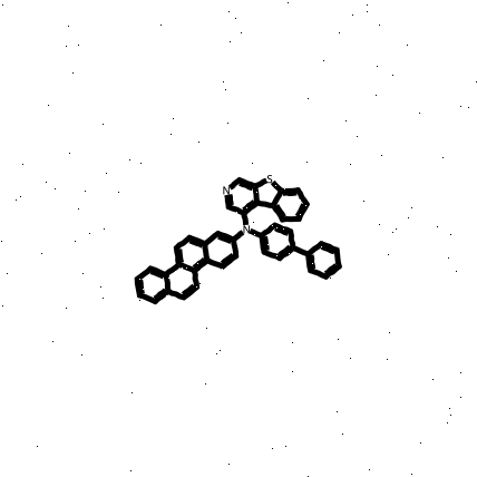 c1ccc(-c2ccc(N(c3ccc4c(ccc5c6ccccc6ccc45)c3)c3cncc4sc5ccccc5c34)cc2)cc1